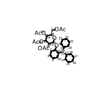 CC(=O)OC[C@H]1O[C@@H](Oc2ccccc2P(c2ccccc2)c2ccccc2)[C@H](OC(C)=O)[C@@H](OC(C)=O)[C@@H]1OC(C)=O